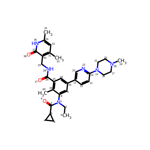 CCN(C(=O)C1CC1)c1cc(-c2ccc(N3CCN(C)CC3)nc2)cc(C(=O)NCc2c(C)cc(C)[nH]c2=O)c1C